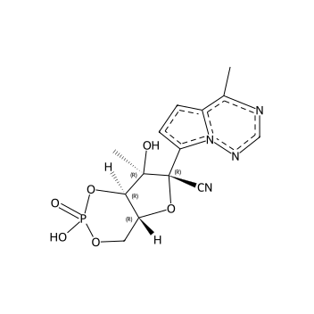 Cc1ncnn2c([C@]3(C#N)O[C@@H]4COP(=O)(O)O[C@H]4[C@@]3(C)O)ccc12